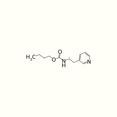 CCCCOC(=O)N[CH]Cc1cccnc1